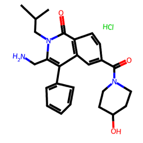 CC(C)Cn1c(CN)c(-c2ccccc2)c2cc(C(=O)N3CCC(O)CC3)ccc2c1=O.Cl